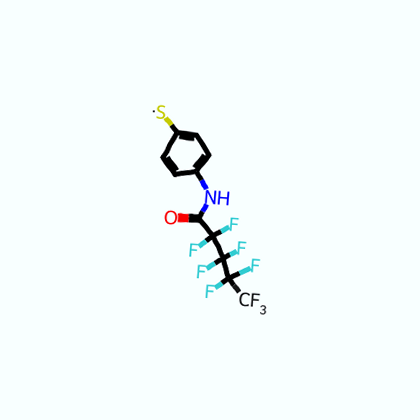 O=C(Nc1ccc([S])cc1)C(F)(F)C(F)(F)C(F)(F)C(F)(F)F